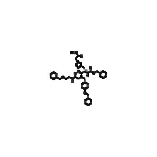 COC(=O)Cn1cnc(C[C@H](NC(=O)OCc2ccccc2)C(=O)N(CC(=O)NCCOCc2ccccc2)Cc2ccc(OCc3ccccc3)cc2)c1